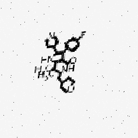 CC1(C)c2[nH]c(-c3ccncc3)c(-c3ccc(F)cc3)c2C(=O)NC1CC1CCOCC1